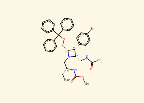 CC(C)(C)OC(=O)N[C@H](CC=O)CN1[C@H](COC(c2ccccc2)(c2ccccc2)c2ccccc2)[C@H](c2ccc(Br)cc2)[C@@H]1CNC(=O)C(F)(F)F